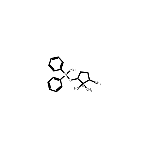 CC(C)(C)[Si](OC1CCC(N)[C@]1(C)O)(c1ccccc1)c1ccccc1